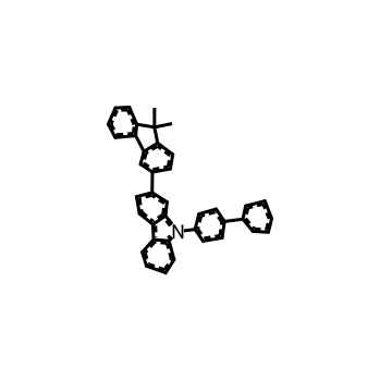 CC1(C)c2ccccc2-c2cc(-c3ccc4c5ccccc5n(-c5ccc(-c6ccccc6)cc5)c4c3)ccc21